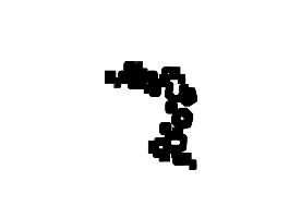 CN(CCC(Oc1cccc(N2CCN(C)c3ncncc3C2=O)c1)c1cccs1)C(=O)OCCS(C)(C)C